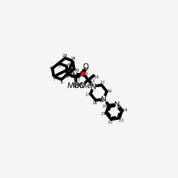 COC(=O)C12CC3CC(C1)C(NC(=O)C(C)(OC)N1CCN(c4ccccn4)CC1)C(C3)C2